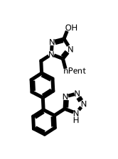 CCCCCc1nc(O)nn1Cc1ccc(-c2ccccc2-c2nnn[nH]2)cc1